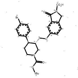 CC(C)(C)OC(=O)N1CC[C@@H](c2ccc(Br)cc2)[C@H](COc2ccc3c(c2)C(=O)N(C(=O)O)C3)C1